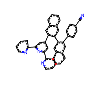 N#Cc1ccc(-c2cc3ccccc3cc2-c2cc3ccccc3cc2-c2cc(-c3ccccn3)nc(-c3ccccn3)c2)cc1